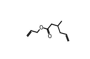 C=CCOC(=O)CC(C)CC=C